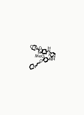 COc1cc(Nc2nccc(Nc3ccc4nc(N5CCOCC5)oc4c3)n2)ccc1OCCCN1CCCCC1